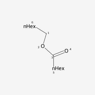 CCCCCCCOC(=O)CCCCCC